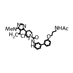 C=C(C)c1c(NC)ncnc1C1=CCN(C(=O)Nc2cccc(-c3cccc(OCCCNC(C)=O)c3)c2)CC1